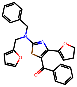 O=C(c1ccccc1)c1sc(N(Cc2ccccc2)Cc2ccco2)nc1C1=CCCO1